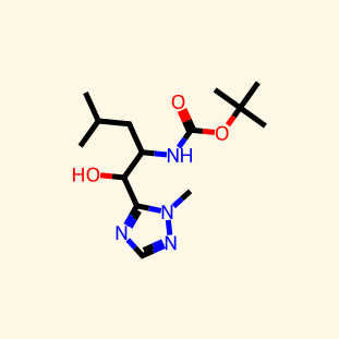 CC(C)CC(NC(=O)OC(C)(C)C)C(O)c1ncnn1C